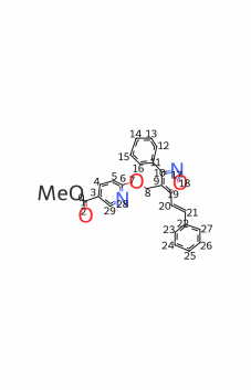 COC(=O)c1ccc(OCc2c(-c3ccccc3)noc2/C=C/c2ccccc2)nc1